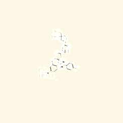 O=C(C[C@@H]1CCc2cc(C(O)(C(F)(F)F)C(F)(F)F)ccc2N1S(=O)(=O)c1ccc(F)cc1)NCC(=O)N1CCC(O)(CO)C1